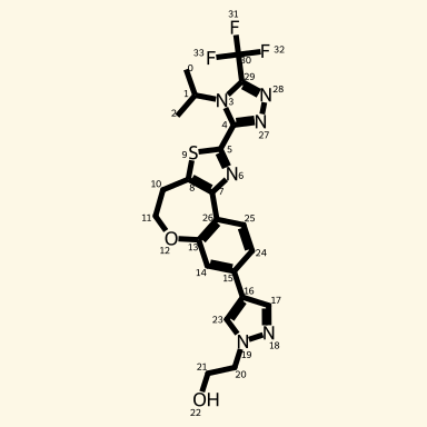 CC(C)n1c(-c2nc3c(s2)CCOc2cc(-c4cnn(CCO)c4)ccc2-3)nnc1C(F)(F)F